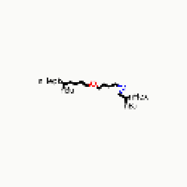 CCCCCCCC(CCCC)CCCCOCCCCN(C)CC(CCCC)CCCCCC